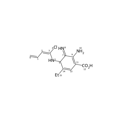 C=C/C=C(/Cl)NC1C(=N)C(N)=C(C(=O)O)C=C1CC